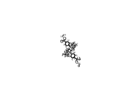 CCOC(=O)c1ccc(N(C(=O)C(=O)N(c2ccc(C(=O)OCC)cc2)S(=O)(=O)C(F)(F)F)S(=O)(=O)C(F)(F)F)cc1